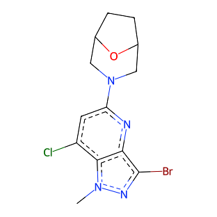 Cn1nc(Br)c2nc(N3CC4CCC(C3)O4)cc(Cl)c21